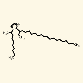 CCCCCCCCCCCCCCCCCCC(CC)c1[nH]cc[n+]1C(C)CCCCCCCC